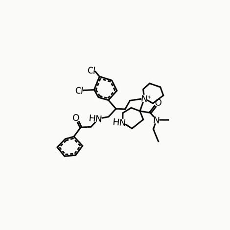 CCN(C)C(=O)C1([N+]2(CCC(CNCC(=O)c3ccccc3)c3ccc(Cl)c(Cl)c3)CCCCC2)CCNCC1